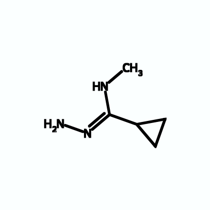 CN/C(=N\N)C1CC1